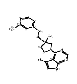 CCc1c[nH]c2ncnc(N3CCC(N)(CNc4cccc(C(F)(F)F)c4)C3)c12